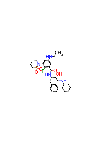 CCNc1cc(C(=O)N[C@@H](Cc2ccccc2)[C@H](O)CNC2CCCCC2)c(F)c(N2CCCCS2(O)O)c1